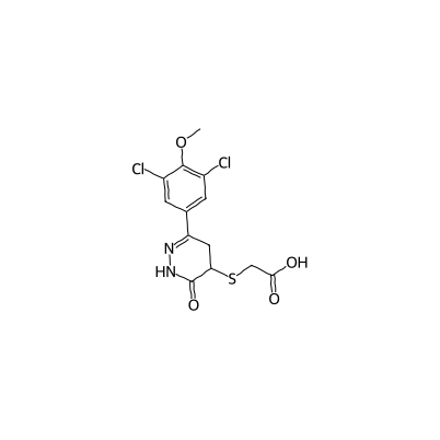 COc1c(Cl)cc(C2=NNC(=O)C(SCC(=O)O)C2)cc1Cl